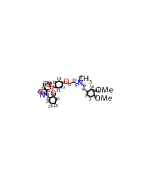 COc1ccc(CCN(C)CCCOc2ccc(S(=O)(=O)c3c(-c4ccccc4)noc3C(C)C)cc2)cc1OC